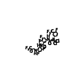 O=C(Nc1cc(NCC(=O)C(F)(F)F)c(F)cc1F)c1cc(NC(=O)[C@H]2[C@H](c3ccc(F)c(C(F)(F)F)c3)C2(Cl)Cl)cc(F)c1F